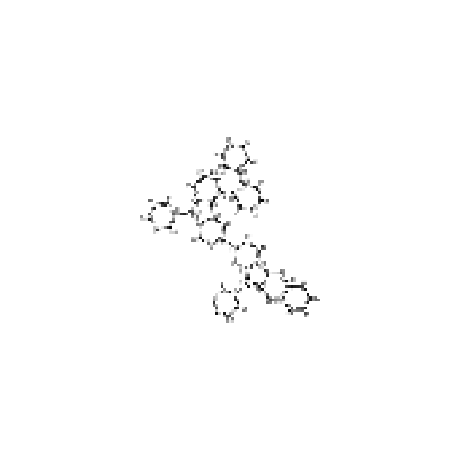 c1ccc(-n2c3cc(-c4ccc5c(c4)c4c6c7ccccc7c7ccccc7c6ccc4n5-c4ccccc4)ccc3c3cc4ccccc4cc32)cc1